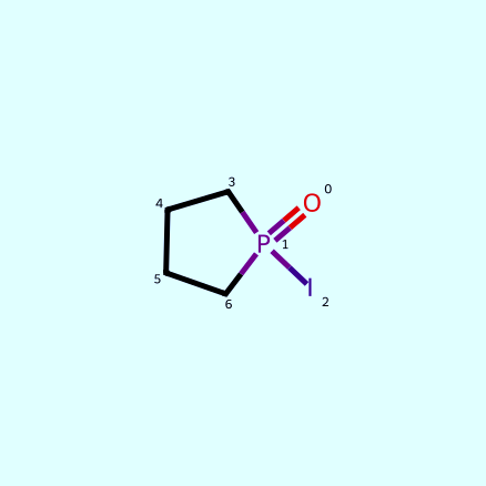 O=P1(I)CCCC1